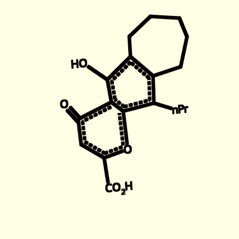 CCCc1c2c(c(O)c3c(=O)cc(C(=O)O)oc13)CCCCC2